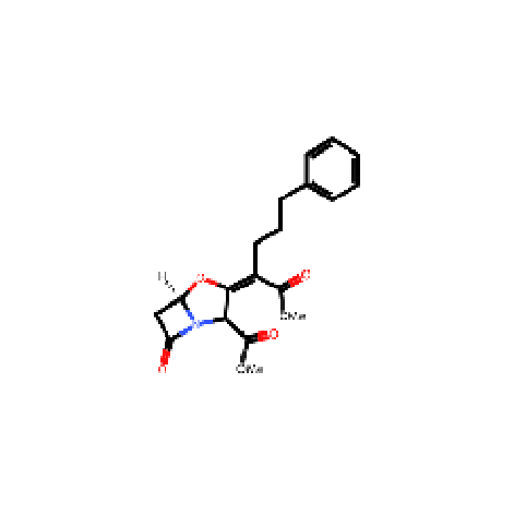 COC(=O)/C(CCCc1ccccc1)=C1/O[C@@H]2CC(=O)N2C1C(=O)OC